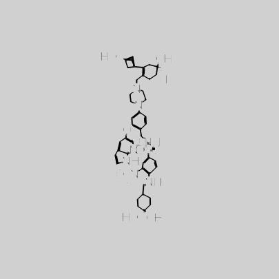 CC1(C)CCC(CNc2ccc(S(=O)(=O)NC(=O)c3ccc(N4CCN(CC5=C(C67CC(C)(C6)C7)CC(C)(C)CC5)CC4)cc3Oc3cnc4[nH]ccc4c3)cc2[N+](=O)[O-])CC1